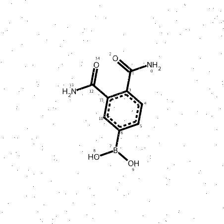 NC(=O)c1ccc(B(O)O)cc1C(N)=O